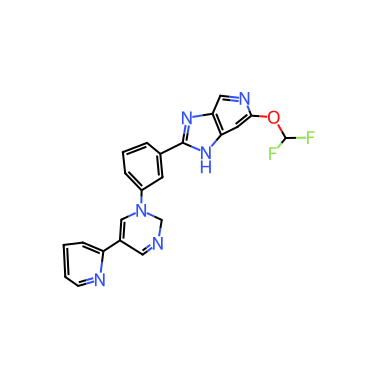 FC(F)Oc1cc2[nH]c(-c3cccc(N4C=C(c5ccccn5)C=NC4)c3)nc2cn1